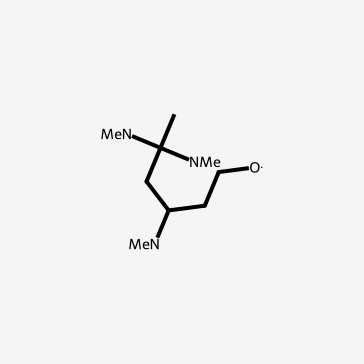 CNC(CC[O])CC(C)(NC)NC